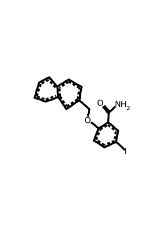 NC(=O)c1cc(I)ccc1OCc1ccc2ccccc2c1